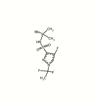 CC(F)(F)n1cc(F)c(S(=O)(=O)N[Si](C)(C)C(C)(C)C)n1